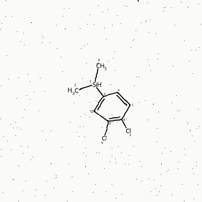 C[SiH](C)c1ccc(Cl)c(Cl)c1